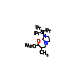 COC(=O)C(C)CN1CCN([Si](C(C)C)(C(C)C)C(C)C)C1